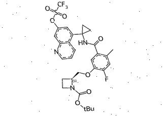 Cc1cc(F)c(OC[C@@H]2CCN2C(=O)OC(C)(C)C)cc1C(=O)NC1(c2cc(OS(=O)(=O)C(F)(F)F)cc3ncccc23)CC1